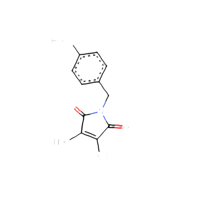 CC1=C(C)C(=O)N(Cc2ccc(C(=O)O)cc2)C1=O